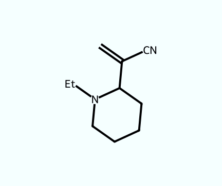 C=C(C#N)C1CCCCN1CC